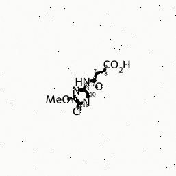 COc1nc(NC(=O)CCC(=O)O)cnc1Cl